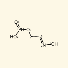 O=[PH](O)OCC=NO